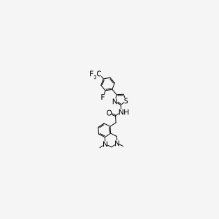 CN1Cc2c(CC(=O)Nc3nc(-c4ccc(C(F)(F)F)cc4F)cs3)cccc2N(C)C1